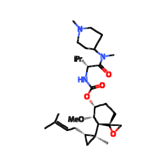 CO[C@@H]1[C@H](OC(=O)N[C@@H](C(=O)N(C)C2CCN(C)CC2)C(C)C)CC[C@]2(CO2)[C@H]1[C@@]1(C)C[C@@H]1CC=C(C)C